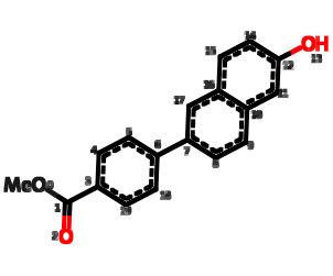 COC(=O)c1ccc(-c2ccc3cc(O)ccc3c2)cc1